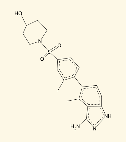 Cc1cc(S(=O)(=O)N2CCC(O)CC2)ccc1-c1ccc2[nH]nc(N)c2c1C